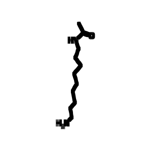 CC(=O)NCCCCCCCCCN